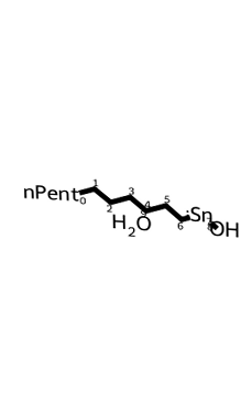 CCCCCCCCCC[CH2][Sn][OH].O